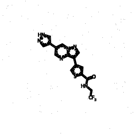 O=C(NCC(F)(F)F)c1cc(-c2cnn3cc(-c4cn[nH]c4)cnc23)cs1